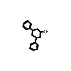 [O]C1CC(c2ccccc2)CC(c2ccccc2)C1